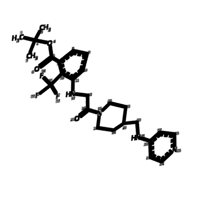 CC(C)(C)OC(=O)c1cccc(NCC(=O)N2CCC(CNc3ccncc3)CC2)c1C(F)(F)F